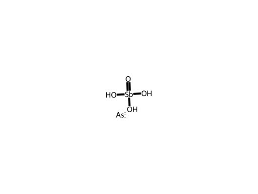 [As].[O]=[Sb]([OH])([OH])[OH]